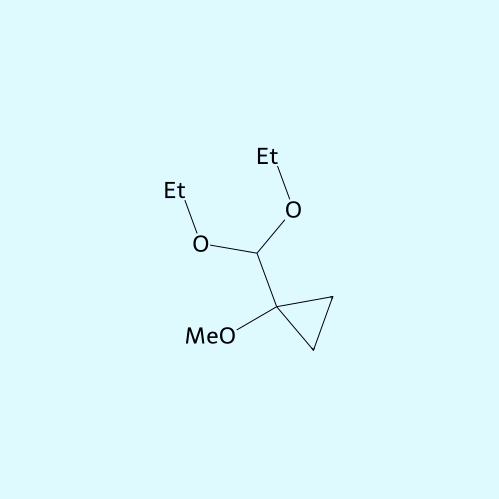 CCOC(OCC)C1(OC)CC1